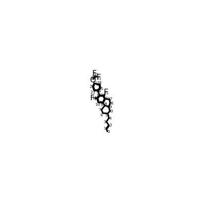 CC=CCCC1CCC2c3cc(F)c(-c4ccc(OC(F)F)cc4)c(F)c3CCC2C1